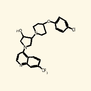 OC1CN(c2ccnc3cc(C(F)(F)F)ccc23)CC1N1CCC(Oc2ccc(Cl)cc2)CC1